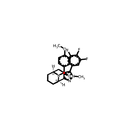 COc1ccc(C(=O)N2[C@H]3CCC[C@@H]2c2nn(C)c(-c4cc(F)c(F)c(F)c4)c2C3)cc1